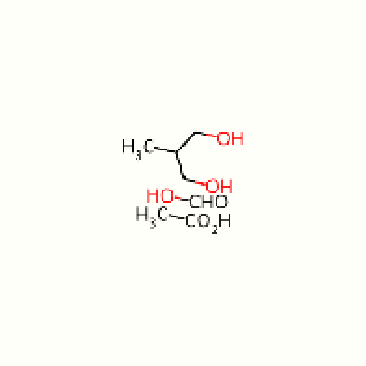 CC(=O)O.CC(CO)CO.O=CO